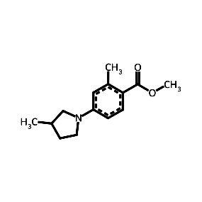 COC(=O)c1ccc(N2CCC(C)C2)cc1C